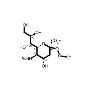 CC(=O)N[C@H]1[C@H]([C@H](O)[C@H](O)CO)O[C@](OOC(C)C)(C(=O)O)C[C@@H]1O